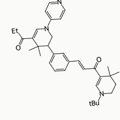 CCC(=O)C1=CN(c2ccncc2)CC(c2cccc(/C=C/C(=O)C3=CN(C(C)(C)C)CCC3(C)C)c2)C1(C)C